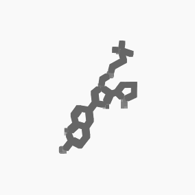 C[Si](C)(C)CCOCn1cc(-c2ccc3nc(Cl)ccc3c2)nc1C1CCCN1